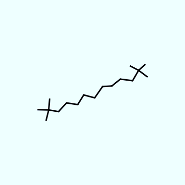 CC(C)(C)CCCCCCCCCC(C)(C)C